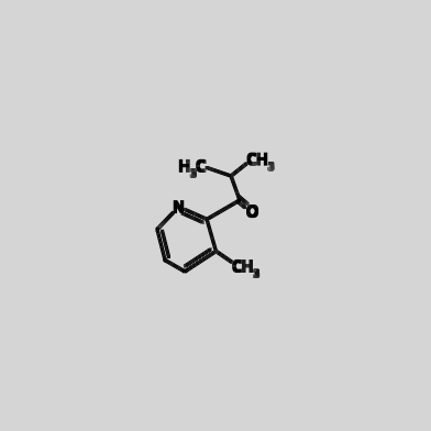 Cc1cccnc1C(=O)C(C)C